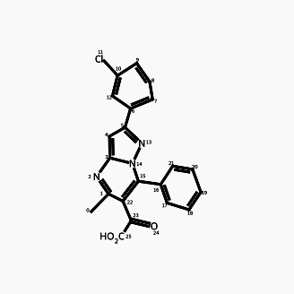 Cc1nc2cc(-c3cccc(Cl)c3)nn2c(-c2ccccc2)c1C(=O)C(=O)O